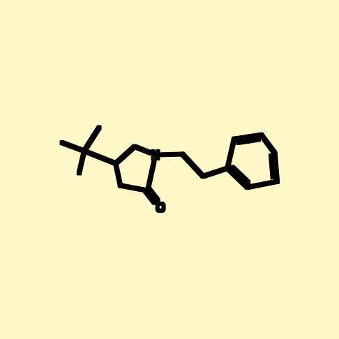 CC(C)(C)C1CC(=O)N(CCc2ccccc2)C1